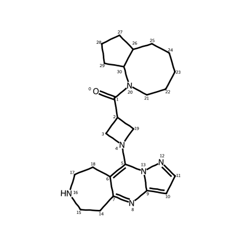 O=C(C1CN(c2c3c(nc4ccnn24)CCNCC3)C1)N1CCCCCC2CCCC21